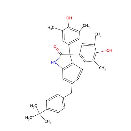 Cc1cc(C2(c3cc(C)c(O)c(C)c3)C(=O)Nc3cc(Cc4ccc(C(C)(C)C)cc4)ccc32)cc(C)c1O